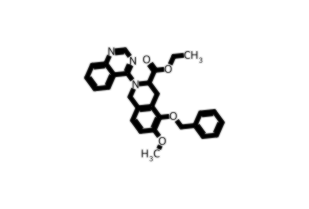 CCOC(=O)C1Cc2c(ccc(OC)c2OCc2ccccc2)CN1c1ncnc2ccccc12